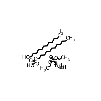 CCCCCCCCCCCCO.CCCCCCCCCCCCOS(=O)(=O)O.CCOS(=O)(=O)OCC.N.[NaH]